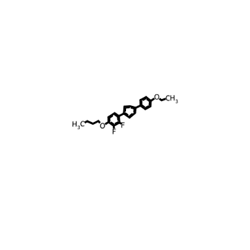 CCCCOc1ccc(-c2ccc(-c3ccc(OCC)cc3)cc2)c(F)c1F